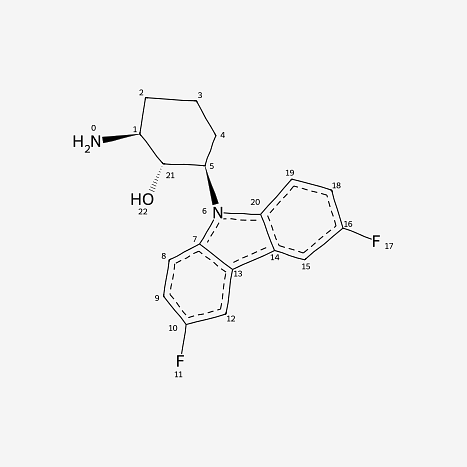 N[C@H]1CCC[C@@H](n2c3ccc(F)cc3c3cc(F)ccc32)[C@@H]1O